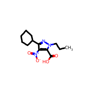 CCCn1nc(C2CCCCC2)c([N+](=O)[O-])c1C(=O)O